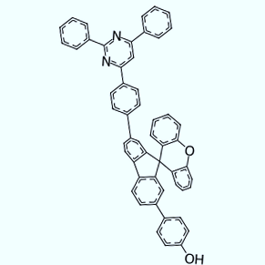 Oc1ccc(-c2ccc3c(c2)C2(c4ccccc4Oc4ccccc42)c2cc(-c4ccc(-c5cc(-c6ccccc6)nc(-c6ccccc6)n5)cc4)ccc2-3)cc1